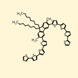 CCCCCCCCC1(CCCCCCCC)c2cc(C)c(-c3ccc(-c4ccc(-c5ccc(-c6cccs6)s5)s4)s3)cc2-c2cc(-c3ccc(-c4ccc(-c5ccc(-c6cccs6)s5)s4)s3)c(C)cc21